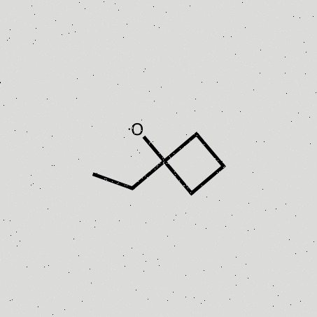 CCC1([O])CCC1